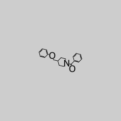 O=C(c1ccccc1)N1CCC(COc2ccccc2)CC1